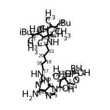 B[PH]1(O)OC[C@H]2O[C@@H](n3cnc4c(N)nc(NCCCCCCNC(C)(C(C)C(C)C(C)C(C)CC)C(C)C(C)C(C)C(C)CC)nc43)[C@@H](O)[C@H]2O1